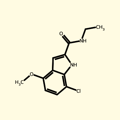 CCNC(=O)c1cc2c(OC)ccc(Cl)c2[nH]1